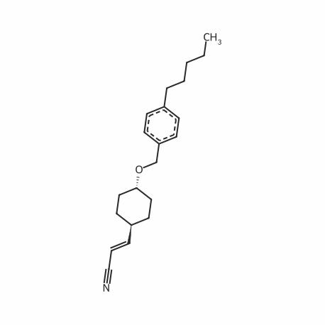 CCCCCc1ccc(CO[C@H]2CC[C@H](C=CC#N)CC2)cc1